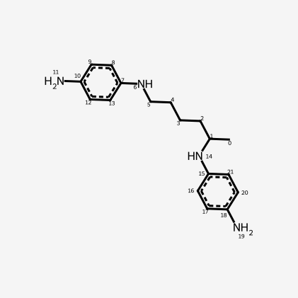 CC(CCCCNc1ccc(N)cc1)Nc1ccc(N)cc1